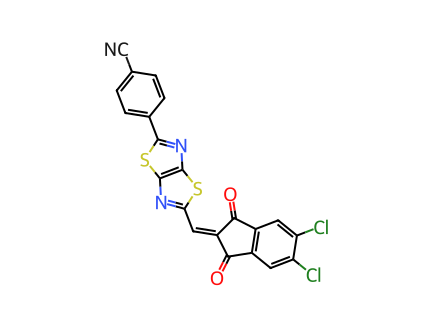 N#Cc1ccc(-c2nc3sc(C=C4C(=O)c5cc(Cl)c(Cl)cc5C4=O)nc3s2)cc1